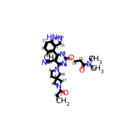 C=CC(=O)N1CC2(CCN(c3nc(OCCC(=O)N(C)C)nc(-c4c(C)ccc5[nH]ncc45)c3C#N)C2)C1